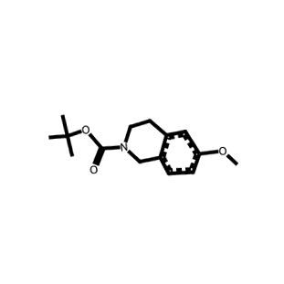 COc1ccc2c(c1)CCN(C(=O)OC(C)(C)C)C2